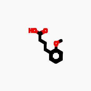 COc1ccccc1CCCC(=O)O